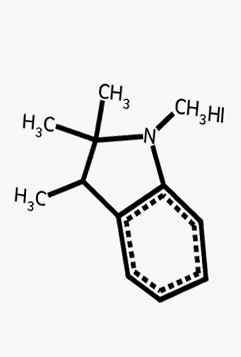 CC1c2ccccc2N(C)C1(C)C.I